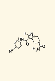 N#Cc1ccc(NC(=O)c2c(I)nn3c2CN(C(N)=O)CC3)cc1